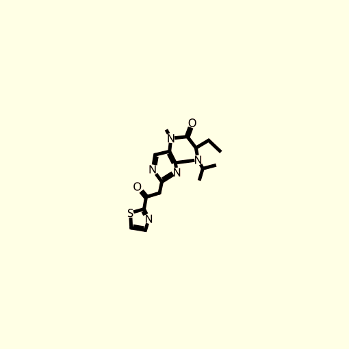 CCC1C(=O)N(C)c2cnc(CC(=O)c3nccs3)nc2N1C(C)C